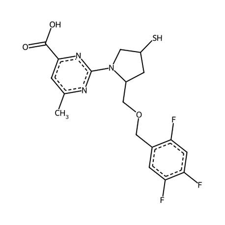 Cc1cc(C(=O)O)nc(N2CC(S)CC2COCc2cc(F)c(F)cc2F)n1